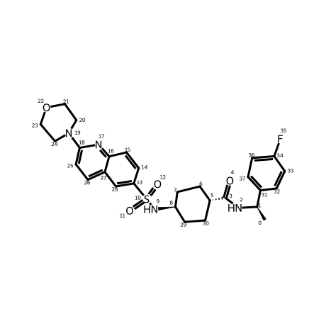 C[C@@H](NC(=O)[C@H]1CC[C@H](NS(=O)(=O)c2ccc3nc(N4CCOCC4)ccc3c2)CC1)c1ccc(F)cc1